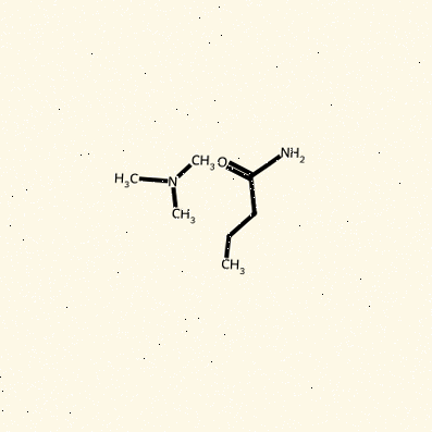 CCCC(N)=O.CN(C)C